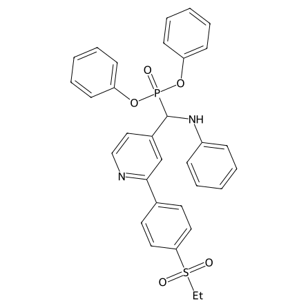 CCS(=O)(=O)c1ccc(-c2cc(C(Nc3ccccc3)P(=O)(Oc3ccccc3)Oc3ccccc3)ccn2)cc1